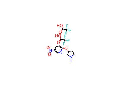 O=C(O)C(F)(F)F.O=C(O)C(F)(F)F.O=[N+]([O-])c1ccc(O[C@@H]2CCNC2)nc1